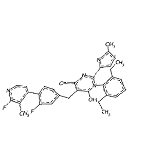 CCc1cccc(CC)c1-n1c(-c2csc(C)n2)nc(=O)c(Cc2ccc(-c3ccnc(F)c3C)c(F)c2)c1O